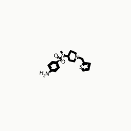 CN(C1CCN(Cc2cccs2)CC1)S(=O)(=O)c1ccc(N)cc1